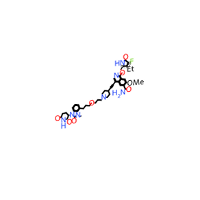 CC[C@@H]1[C@H](F)C(=O)N[C@@H]1COc1ncc(C#CC2CCN(CCCOCCCc3cccc4c3n(C)c(=O)n4C3CCC(=O)NC3=O)CC2)c2cc(C(N)=O)c(OC)cc12